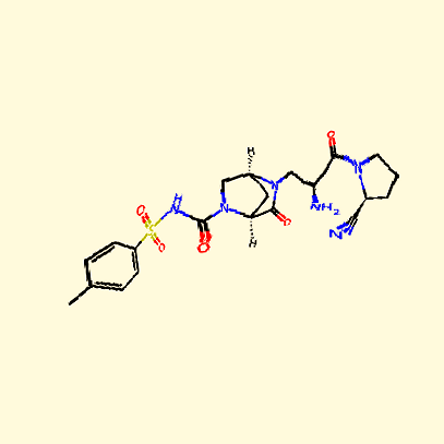 Cc1ccc(S(=O)(=O)NC(=O)N2C[C@@H]3C[C@H]2C(=O)N3C[C@H](N)C(=O)N2CCC[C@H]2C#N)cc1